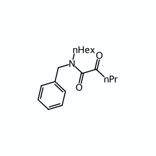 CCCCCCN(Cc1ccccc1)C(=O)C(=O)CCC